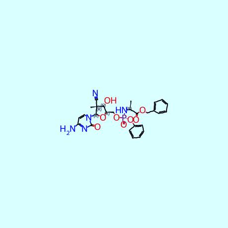 C[C@H](NP(=O)(OC[C@H]1O[C@@H](n2ccc(N)nc2=O)[C@](C)(C#N)[C@@H]1O)Oc1ccccc1)C(=O)OCc1ccccc1